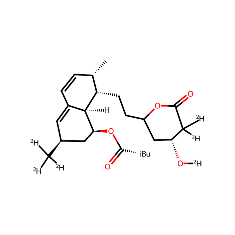 [2H]O[C@@H]1CC(CC[C@@H]2[C@@H]3C(=C[C@H](C([2H])([2H])[2H])C[C@@H]3OC(=O)[C@@H](C)CC)C=C[C@@H]2C)OC(=O)C1([2H])[2H]